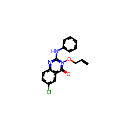 C=CCOn1c(Nc2ccccc2)nc2ccc(Cl)cc2c1=O